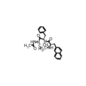 CN[C@H](Cc1ccc2ccccc2c1)C(=O)N(C)[C@H](Cc1ccccc1)C(=O)N(C)NC(C)=O